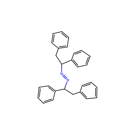 c1ccc(CC(/N=N/C(Cc2ccccc2)c2ccccc2)c2ccccc2)cc1